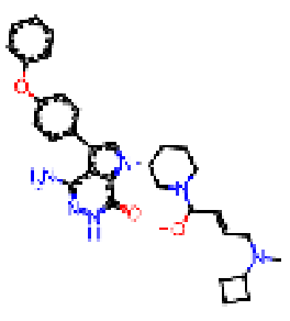 CN(C/C=C/C(O)N1CCC[C@@H](n2cc(-c3ccc(Oc4ccccc4)cc3)c3c(N)n[nH]c(=O)c32)C1)C1CCC1